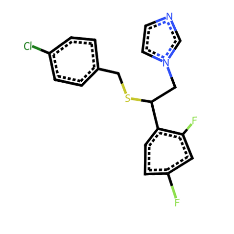 Fc1ccc(C(Cn2ccnc2)SCc2ccc(Cl)cc2)c(F)c1